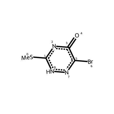 CSc1nc(=O)c(Br)n[nH]1